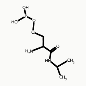 CC(C)NC(=O)C(N)COOP(O)O